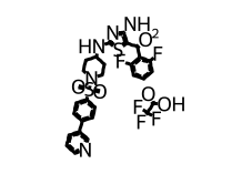 Nc1nc(NC2CCN(S(=O)(=O)c3ccc(-c4cccnc4)cc3)CC2)sc1C(=O)c1c(F)cccc1F.O=C(O)C(F)(F)F